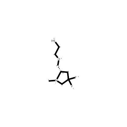 CN1CC(F)(F)C[C@H]1COCCS